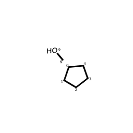 C1CCCC1.CO